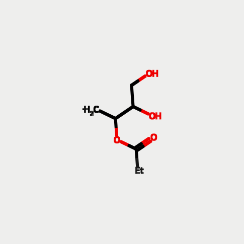 [CH2]C(OC(=O)CC)C(O)CO